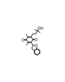 CC1=C(CCC(C)(C)O)C(=O)C(C2Cc3ccccc3O2)=C(C)C1=O